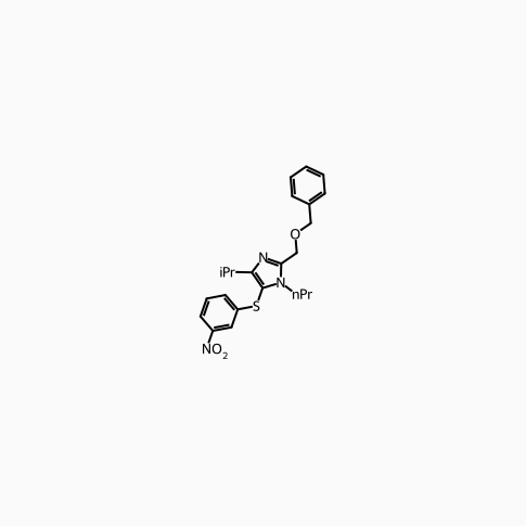 CCCn1c(COCc2ccccc2)nc(C(C)C)c1Sc1cccc([N+](=O)[O-])c1